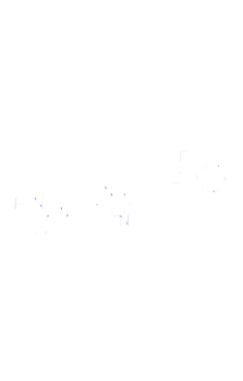 N#CC1(NC(=O)[CH]CCC(F)(F)c2ccccc2)CCN(C(N)=O)CC1